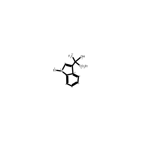 CCOC(=O)C(O)(c1cn(CC)c2ccccc12)C(F)(F)F